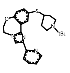 CC(C)(C)N1CCC(Sc2ccc3c(c2)-c2nc(-c4ccccn4)cn2CCO3)CC1